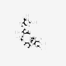 Nc1nc2c(ncn2[C@H]2O[C@@H]3CO[PH](=O)OC4C(COCC4(O)n4cnc5c(=O)[nH]c(N)nc54)O[P@](=O)(S)OC3C2O)c(=O)[nH]1